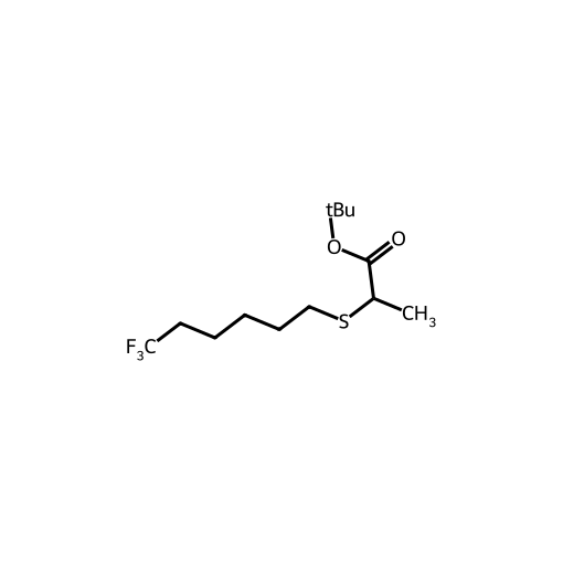 CC(SCCCCCC(F)(F)F)C(=O)OC(C)(C)C